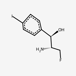 N[C@@H](CF)[C@H](O)c1ccc(I)cc1